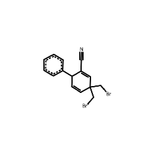 N#CC1=CC(CBr)(CBr)C=CC1c1ccccc1